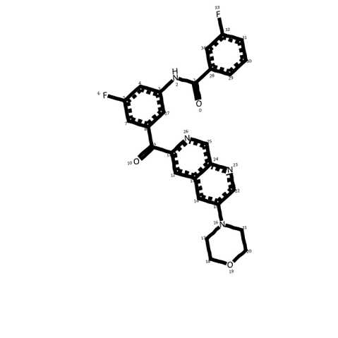 O=C(Nc1cc(F)cc(C(=O)c2cc3cc(N4CCOCC4)cnc3cn2)c1)c1cccc(F)c1